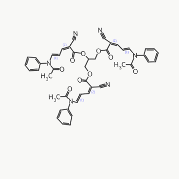 CC(=O)N(/C=C/C=C(/C#N)C(=O)OCC(COC(=O)/C(C#N)=C\C=C\N(C(C)=O)c1ccccc1)OC(=O)/C(C#N)=C\C=C\N(C(C)=O)c1ccccc1)c1ccccc1